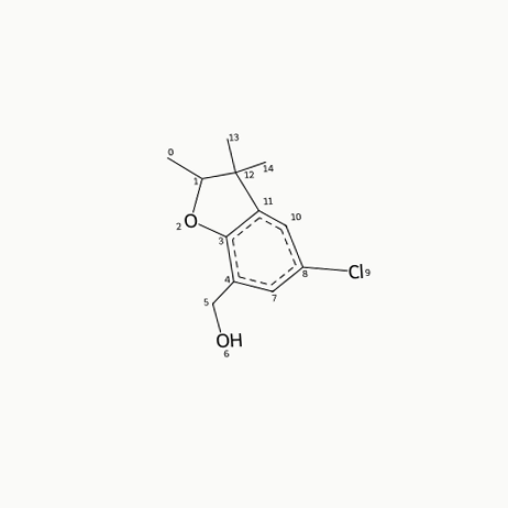 CC1Oc2c(CO)cc(Cl)cc2C1(C)C